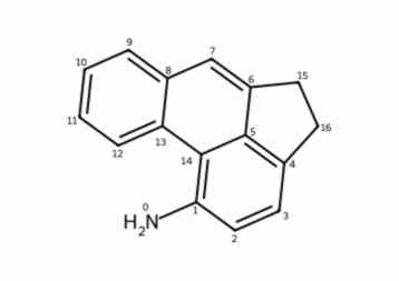 Nc1ccc2c3c(cc4ccccc4c13)CC2